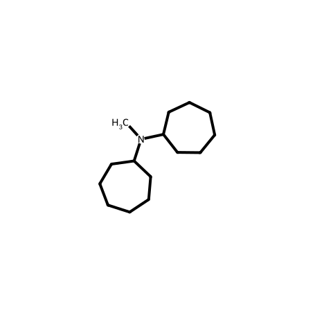 CN(C1CCCCCC1)C1CCCCCC1